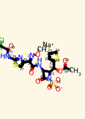 CON=C(C(=O)NC1C(=O)N(S(=O)(=O)[O-])C1C(OC(C)=O)c1cccs1)c1csc(NC(=O)CCl)n1.[Na+]